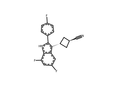 N#C[C@H]1C[C@H](c2c(-c3ccc(F)cc3)[nH]c3c(F)cc(F)cc32)C1